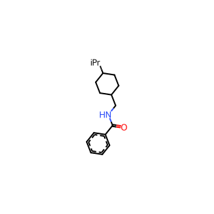 CC(C)C1CCC(CNC(=O)c2ccccc2)CC1